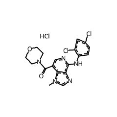 Cl.Cn1cnc2c(Nc3ccc(Cl)cc3Cl)ncc(C(=O)N3CCOCC3)c21